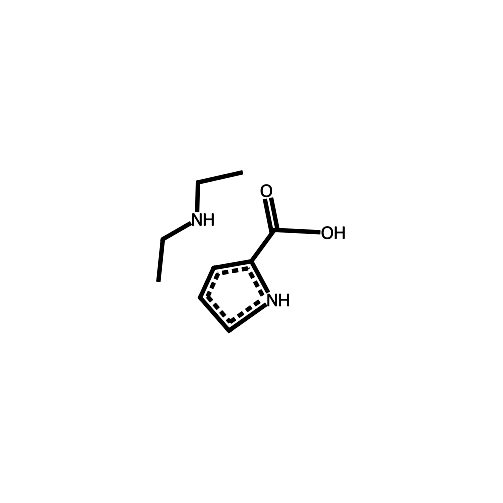 CCNCC.O=C(O)c1ccc[nH]1